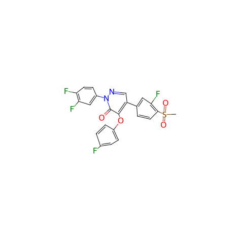 CS(=O)(=O)c1ccc(-c2cnn(-c3ccc(F)c(F)c3)c(=O)c2Oc2ccc(F)cc2)cc1F